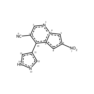 N#Cc1cnn2cc([N+](=O)[O-])cc2c1-c1cn[nH]c1